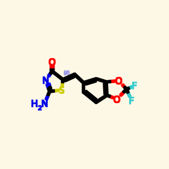 NC1=NC(=O)/C(=C/c2ccc3c(c2)OC(F)(F)O3)S1